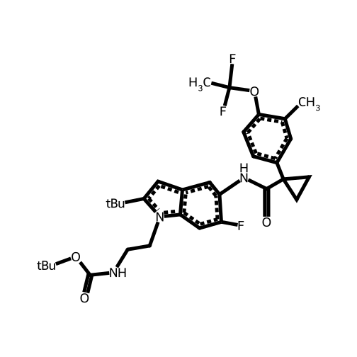 Cc1cc(C2(C(=O)Nc3cc4cc(C(C)(C)C)n(CCNC(=O)OC(C)(C)C)c4cc3F)CC2)ccc1OC(C)(F)F